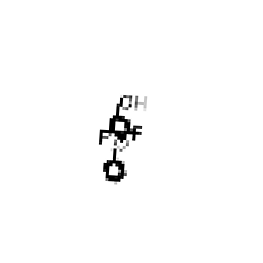 OCc1cc(F)c(OCc2ccccc2)c(F)c1